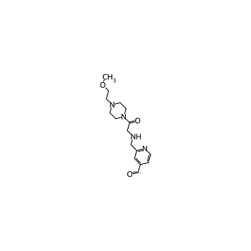 COCCN1CCN(C(=O)CNCc2cc([C]=O)ccn2)CC1